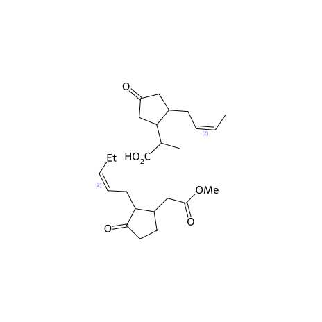 C/C=C\CC1CC(=O)CC1C(C)C(=O)O.CC/C=C\CC1C(=O)CCC1CC(=O)OC